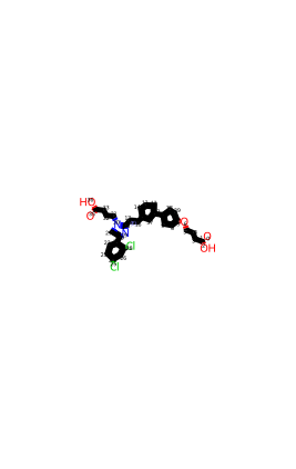 O=C(O)CCCOc1ccc(-c2cccc(/C=C/c3nc(-c4ccc(Cl)cc4Cl)cn3CCCC(=O)O)c2)cc1